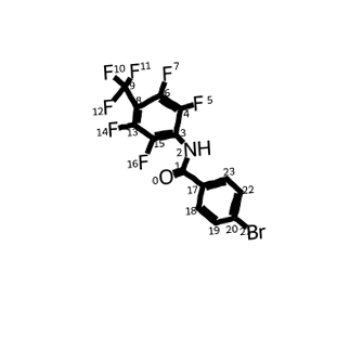 O=C(Nc1c(F)c(F)c(C(F)(F)F)c(F)c1F)c1ccc(Br)cc1